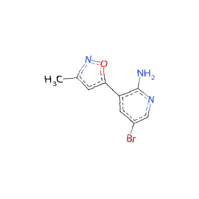 Cc1cc(-c2cc(Br)cnc2N)on1